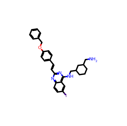 NCC1CCCC(CNc2nc(C=Cc3ccc(OCc4ccccc4)cc3)nc3ccc(I)cc23)C1